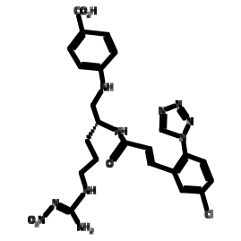 NC(=N[N+](=O)[O-])NCCC[C@H](CNc1ccc(C(=O)O)cc1)NC(=O)/C=C/c1cc(Cl)ccc1-n1cnnn1